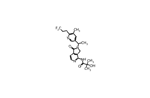 Cc1cc(C(C)N2Cc3c(ccnc3NC(=O)C(C)(C)O)C2=O)cnc1CCC(F)(F)F